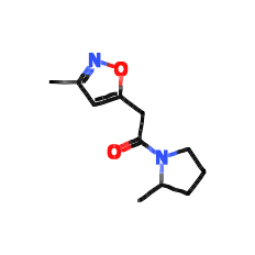 Cc1cc(CC(=O)N2CCCC2C)on1